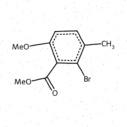 COC(=O)c1c(OC)ccc(C)c1Br